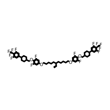 C=CC(CCCCCOc1cc(F)c(OCC2CCC(c3cc(F)c(C(F)(F)F)c(F)c3)CC2)c(F)c1)CCCCCOc1cc(F)c(OCC2CCC(c3cc(F)c(C(F)(F)F)c(F)c3)CC2)c(F)c1